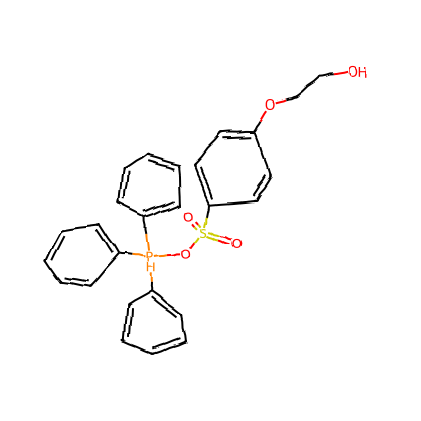 O=S(=O)(O[PH](c1ccccc1)(c1ccccc1)c1ccccc1)c1ccc(OCCO)cc1